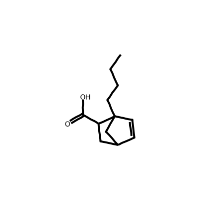 CCCCC12C=CC(CC1C(=O)O)C2